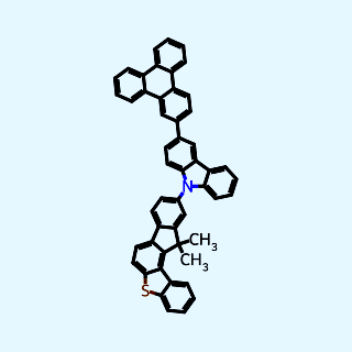 CC1(C)c2cc(-n3c4ccccc4c4cc(-c5ccc6c7ccccc7c7ccccc7c6c5)ccc43)ccc2-c2ccc3sc4ccccc4c3c21